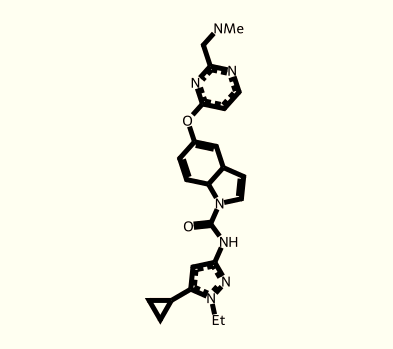 CCn1nc(NC(=O)N2C=CC3C=C(Oc4ccnc(CNC)n4)C=CC32)cc1C1CC1